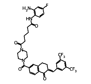 Nc1cc(F)ccc1NC(=O)CCCCC(=O)N1CCN(C(=O)c2ccc3c(c2)CC/C(=C\c2cc(C(F)(F)F)cc(C(F)(F)F)c2)C3=O)CC1